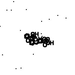 O=C(O)COc1ccc(C(=O)P(=O)(O)O)cc1Cc1ccc(Oc2ccccc2)cc1